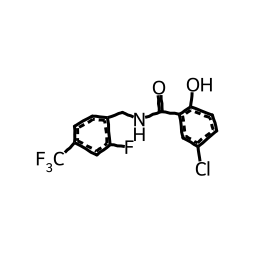 O=C(NCc1ccc(C(F)(F)F)cc1F)c1cc(Cl)ccc1O